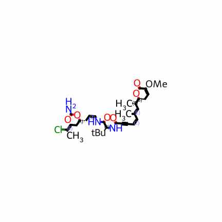 COC1=CC[C@@H]([C@@H](C)/C=C(C)/C=C\C#CC(=O)N[C@H](C(=O)N/C=C\C[C@H](C/C=C(\C)Cl)OC(N)=O)C(C)(C)C)OC1=O